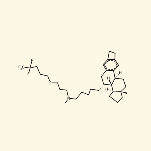 CN(CCCCC[C@@H]1Cc2cc3c(cc2[C@H]2CC[C@]4(C)CCC[C@H]4[C@H]12)CC3)CCCSCCCC(F)(F)C(F)(F)F